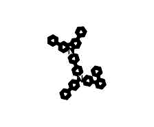 c1ccc(-c2ccc(N(c3ccc(-c4ccc(-n5c6ccc(-c7ccccc7)cc6c6cc(-c7ccccc7)ccc65)cc4)cc3)c3ccc(-c4ccccc4-c4ccccc4)cc3)cc2)cc1